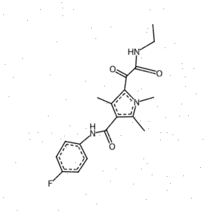 CCNC(=O)C(=O)c1c(C)c(C(=O)Nc2ccc(F)cc2)c(C)n1C